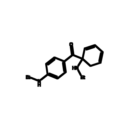 CCNc1ccc(C(=O)C2(NCC)C=CC=CC2)cc1